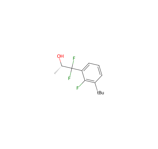 C[C@H](O)C(F)(F)c1cccc(C(C)(C)C)c1F